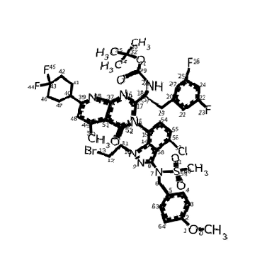 COc1ccc(CN(c2nn(CCBr)c3c(-n4c([C@H](Cc5cc(F)cc(F)c5)NC(=O)OC(C)(C)C)nc5nc(C6CCC(F)(F)CC6)cc(C)c5c4=O)ccc(Cl)c23)S(C)(=O)=O)cc1